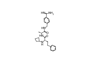 C[C@H](NC(=O)[C@@H](CCc1ccccc1)NC1CCC1)C(=O)NCc1ccc(C(=N)N)cc1